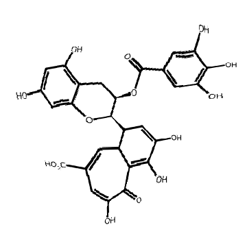 O=C(O)C1=CC2C(=C(O)C(O)=CC2[C@H]2Oc3cc(O)cc(O)c3C[C@H]2OC(=O)c2cc(O)c(O)c(O)c2)C(=O)C(O)=C1